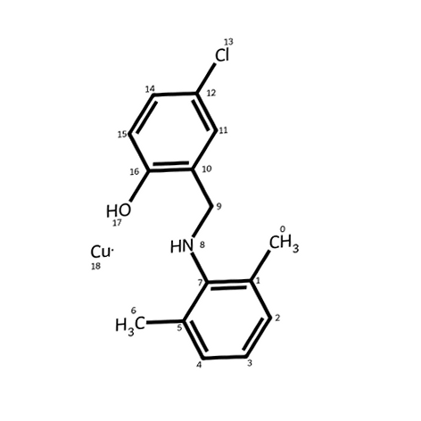 Cc1cccc(C)c1NCc1cc(Cl)ccc1O.[Cu]